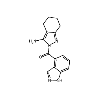 Nc1c2c(nn1C(=O)c1cccc3[nH]ncc13)CCCC2